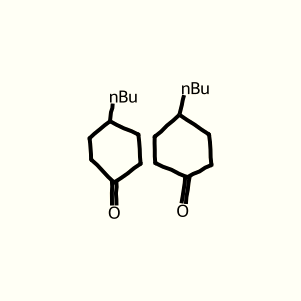 CCCCC1CCC(=O)CC1.CCCCC1CCC(=O)CC1